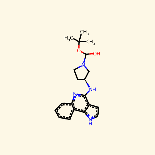 CC(C)(C)OC(O)N1CC[C@H](Nc2nc3ccccc3c3[nH]ccc23)C1